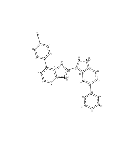 Fc1ccc(-c2nccc3[nH]c(-c4n[nH]c5ccc(-c6cncnc6)nc45)nc23)cc1